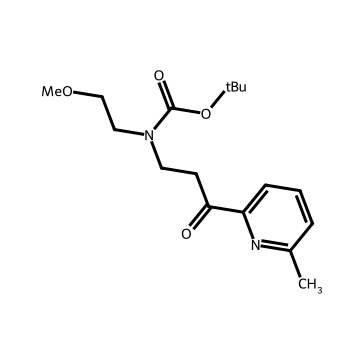 COCCN(CCC(=O)c1cccc(C)n1)C(=O)OC(C)(C)C